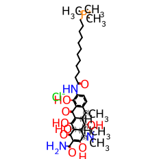 C[C@H]1c2ccc(NC(=O)CCCCCCCCCCC[P+](C)(C)C)c(O)c2C(=O)C2=C(O)[C@]3(O)C(=O)C(C(N)=O)=C(O)[C@@H](N(C)C)[C@@H]3[C@@H](O)[C@@H]21.[Cl-]